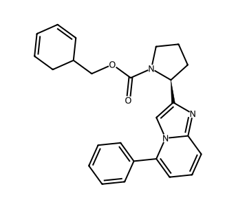 O=C(OCC1C=CC=CC1)N1CCC[C@H]1c1cn2c(-c3ccccc3)cccc2n1